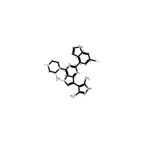 Cc1n[nH]c(C)c1-c1csc2c(N3CCOC[C@H]3C)nc(-c3cc(F)cc4[nH]ccc34)nc12